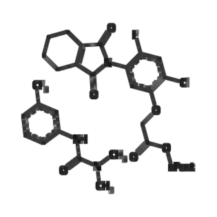 CCCCCOC(=O)COc1cc(N2C(=O)C3=C(CCCC3)C2=O)c(F)cc1Cl.CN(C)C(=O)Nc1cccc(C(F)(F)F)c1